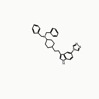 c1ccc(CN(Cc2ccccc2)C2CCC(CCc3c[nH]c4ccc(-n5cnnc5)cc34)CC2)cc1